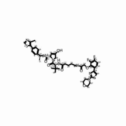 Cc1ncsc1-c1ccc([C@H](C)NC(=O)[C@@H]2C=C(O)CN2C(=O)[C@@H](NC(=O)CCCCNC(=O)COc2c(-c3csc(N4CCOCC4)n3)ccc(F)c2F)C(C)(C)C)cc1